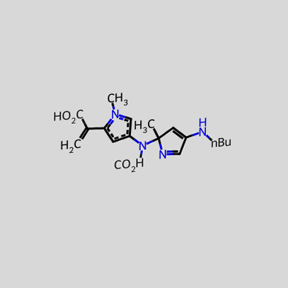 C=C(C(=O)O)c1cc(N(C(=O)O)C2(C)C=C(NCCCC)C=N2)cn1C